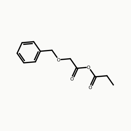 CCC(=O)OC(=O)COCc1ccccc1